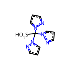 O=S(=O)(O)C(n1cccn1)(n1cccn1)n1cccn1